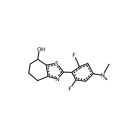 CN(C)c1cc(F)c(-c2nc3c(s2)C(O)CCC3)c(F)c1